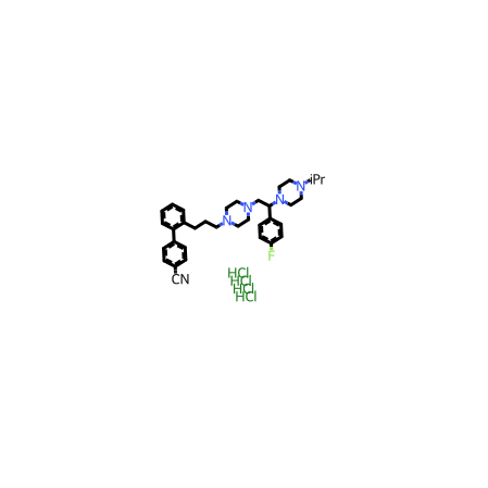 CC(C)N1CCN(C(CN2CCN(CCCc3ccccc3-c3ccc(C#N)cc3)CC2)c2ccc(F)cc2)CC1.Cl.Cl.Cl.Cl